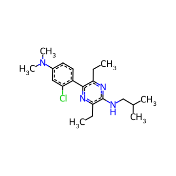 CCc1nc(-c2ccc(N(C)C)cc2Cl)c(CC)nc1NCC(C)C